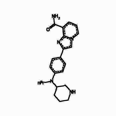 CCCN(c1ccc(-c2cn3cccc(C(N)=O)c3n2)cc1)C1CCCNC1